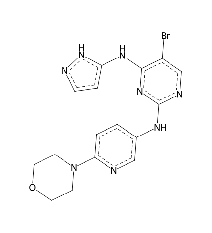 Brc1cnc(Nc2ccc(N3CCOCC3)nc2)nc1Nc1ccn[nH]1